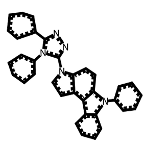 c1ccc(-c2nnc(-n3ccc4c5c6ccccc6n(-c6ccccc6)c5ccc43)n2-c2ccccc2)cc1